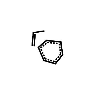 C=CC.c1ccccc1